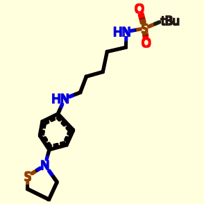 CC(C)(C)S(=O)(=O)NCCCCCNc1ccc(N2CCCS2)cc1